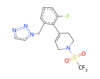 O=S(=O)(N1CC=C(c2c(F)cccc2[CH]n2ccnn2)CC1)C(F)(F)F